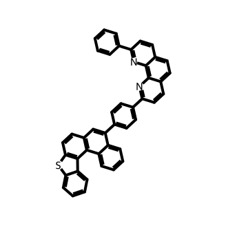 c1ccc(-c2ccc3ccc4ccc(-c5ccc(-c6cc7ccc8sc9ccccc9c8c7c7ccccc67)cc5)nc4c3n2)cc1